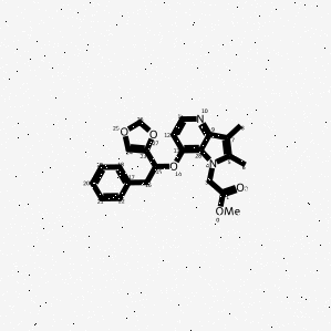 COC(=O)Cn1c(C)c(C)c2nccc(OC(Cc3ccccc3)C3=COCO3)c21